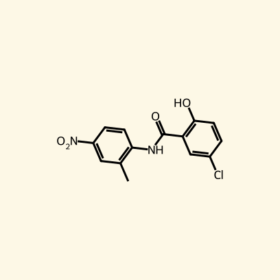 Cc1cc([N+](=O)[O-])ccc1NC(=O)c1cc(Cl)ccc1O